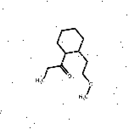 CCC(=O)C1CCCCC1CCOC